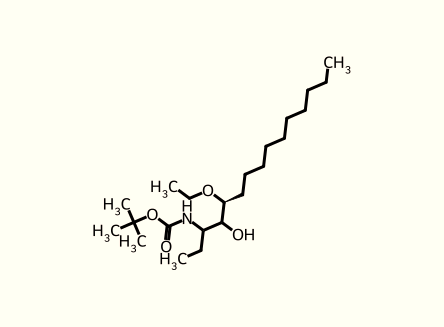 CCCCCCCCCC[C@H](OCC)C(O)C(CC)NC(=O)OC(C)(C)C